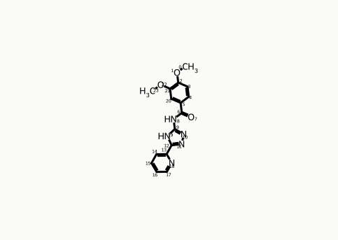 COc1ccc(C(=O)Nc2nnc(-c3ccccn3)[nH]2)cc1OC